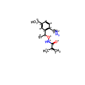 C=C(C)C(=O)NOC(CC)c1cc(S(=O)(=O)O)ccc1C(C)(C)C.N